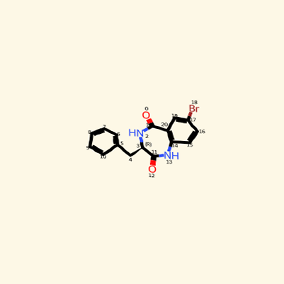 O=C1N[C@H](Cc2ccccc2)C(=O)Nc2ccc(Br)cc21